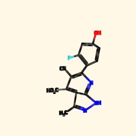 [C-]#[N+]c1c(-c2ccc(O)cc2F)nc2[nH]nc(C)c2c1C(=O)O